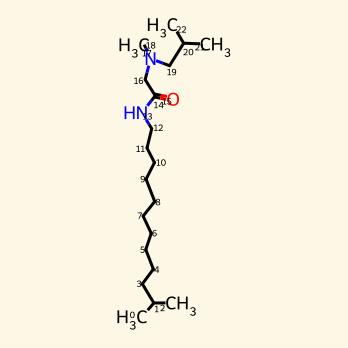 CC(C)CCCCCCCCCCNC(=O)CN(C)CC(C)C